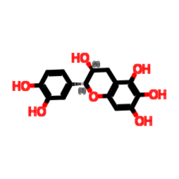 Oc1ccc([C@H]2Oc3cc(O)c(O)c(O)c3C[C@@H]2O)cc1O